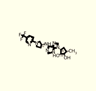 C[C@H]1C[C@@H](n2cnc3c(N[C@H]4CCN(c5ccc(C(F)(F)F)cn5)C4)ncnc32)[C@H](O)[C@@H]1O